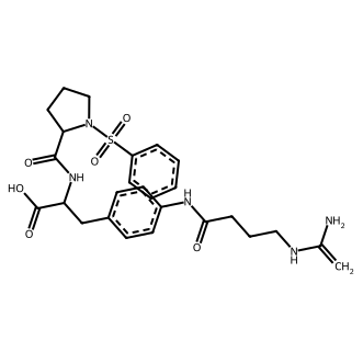 C=C(N)NCCCC(=O)Nc1ccc(CC(NC(=O)C2CCCN2S(=O)(=O)c2ccccc2)C(=O)O)cc1